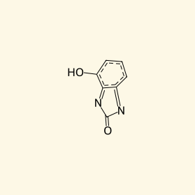 O=C1N=c2cccc(O)c2=N1